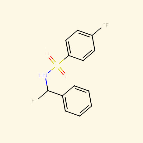 CCC(NS(=O)(=O)c1ccc(C(F)(F)F)cc1)c1ccccc1